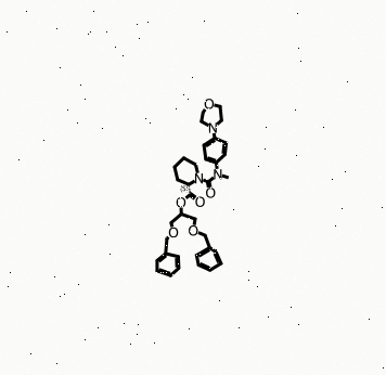 CN(C(=O)N1CCCC[C@H]1C(=O)OC(COCc1ccccc1)COCc1ccccc1)c1ccc(N2CCOCC2)cc1